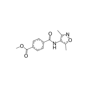 COC(=O)c1ccc(C(=O)Nc2c(C)noc2C)cc1